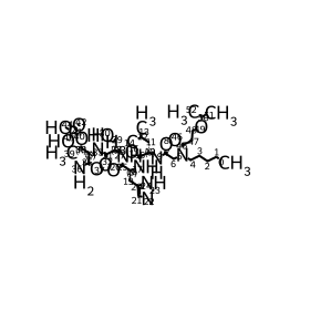 CCCCCN(CC(=O)N[C@@H](CC(C)C)C(=O)N[C@@H](Cc1cnc[nH]1)C(=O)N[C@@H](CO)C(=O)N[C@H](C(N)=O)[C@@H](C)OP(=O)(O)O)C(=O)CCOC(C)C